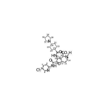 O=C(Nc1ccc(Cl)cn1)c1oc2ccnc(C(=O)O)c2c1NC(=O)[C@H]1CC[C@H](N2CCCC2)CC1